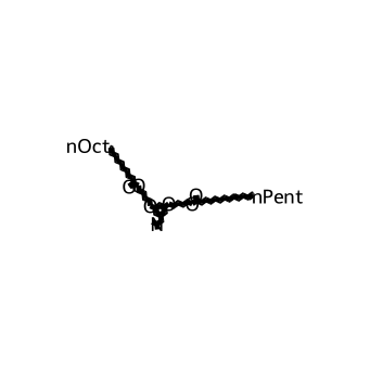 CCCCCC=CCC=CCCCCCCCC(=O)OCCCCOc1cc(CN(C)C)cc(OCCCCOC(=O)CCCCCCCC=CCCCCCCCC)c1